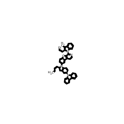 C=C/C=C\c1cc2cc(-n3c4ccccc4c4ccccc43)ccc2n1-c1ccc2oc3c(-n4c(/C=C\CC)c(C)c5ccccc54)nccc3c2c1